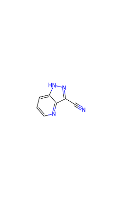 N#Cc1n[nH]c2cccnc12